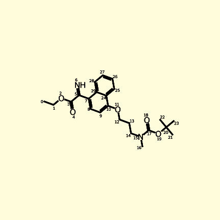 CCOC(=O)C(=N)c1ccc(OCCCN(C)C(=O)OC(C)(C)C)c2ccccc12